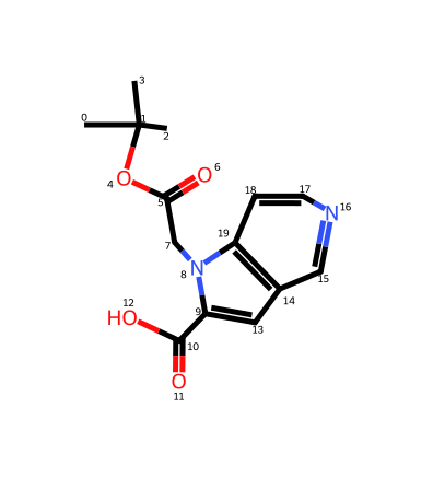 CC(C)(C)OC(=O)Cn1c(C(=O)O)cc2cnccc21